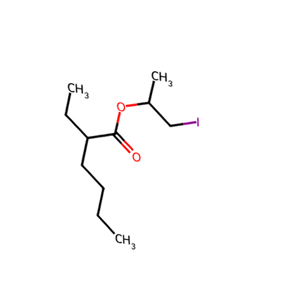 CCCCC(CC)C(=O)OC(C)CI